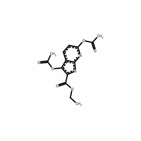 CCOC(=O)c1sc2nc(OC(C)=O)ccc2c1OC(C)=O